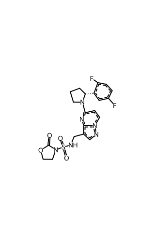 O=C1OCCN1S(=O)(=O)NCc1cnn2ccc(N3CCC[C@@H]3c3cc(F)ccc3F)nc12